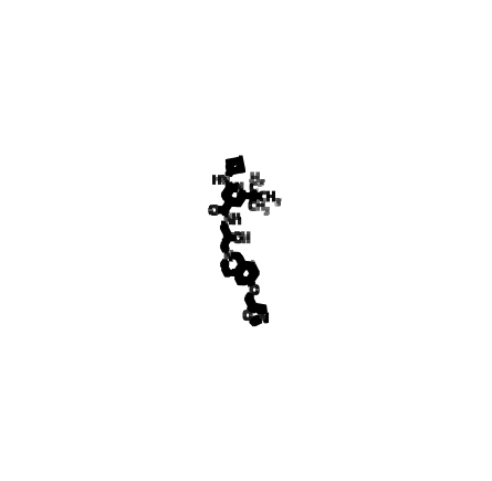 CC(C)(C)c1cc(C(=O)NCC(O)CN2CCc3cc(OCc4cnco4)ccc3C2)cc(NC2CCC2)n1